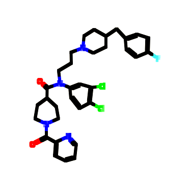 O=C(c1ccccn1)N1CCC(C(=O)N(CCCN2CCC(Cc3ccc(F)cc3)CC2)c2ccc(Cl)c(Cl)c2)CC1